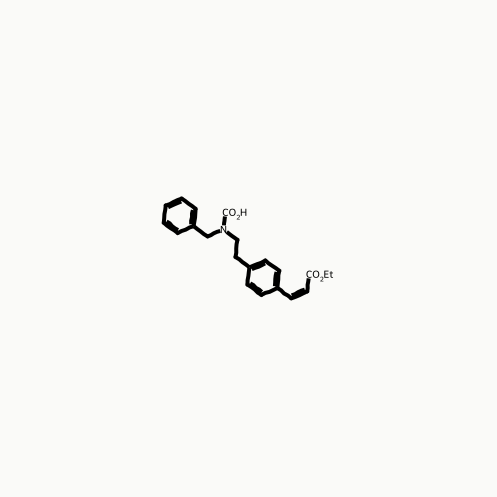 CCOC(=O)/C=C\c1ccc(CCN(Cc2ccccc2)C(=O)O)cc1